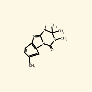 Cc1ccc2nc3n(c2c1)C(=O)N(C)C(C)(C)N3